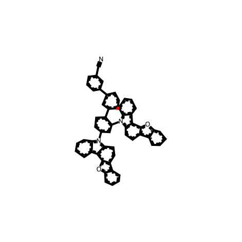 N#Cc1cccc(-c2cccc(-c3ccc(-n4c5ccccc5c5c6oc7ccccc7c6ccc54)cc3-n3c4ccccc4c4c5oc6ccccc6c5ccc43)c2)c1